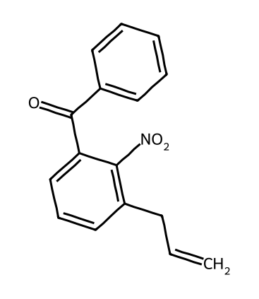 C=CCc1cccc(C(=O)c2ccccc2)c1[N+](=O)[O-]